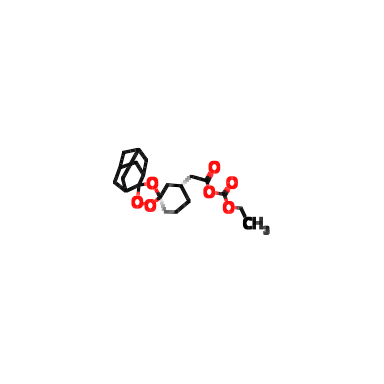 CCOC(=O)OC(=O)C[C@@H]1CCC[C@]2(C1)OOC1(O2)C2CC3CC(C2)CC1C3